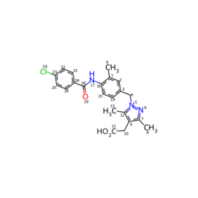 Cc1cc(Cn2nc(C)c(CC(=O)O)c2C)ccc1NC(=O)c1ccc(Cl)cc1